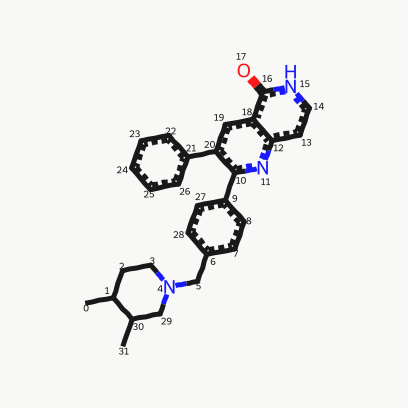 CC1CCN(Cc2ccc(-c3nc4cc[nH]c(=O)c4cc3-c3ccccc3)cc2)CC1C